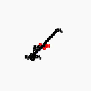 CCCCCCCCCCCCCCC(C(=O)O)C(=O)/C=C(C)/C=C/C=C(C)/C=C/C1=C(C)CCCC1(C)C